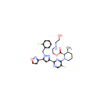 C[C@H]1CCCN(c2nc(-c3cc(-c4ccon4)n(Cc4ccccc4F)n3)ncc2F)[C@H]1C(=O)OCCNCCO